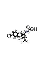 CC(C)c1nc(/C=C/C(=O)O)c(Cc2ccc(Cl)cc2Cl)s1